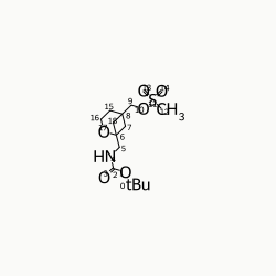 CC(C)(C)OC(=O)NCC12CC(COS(C)(=O)=O)(CCO1)C2